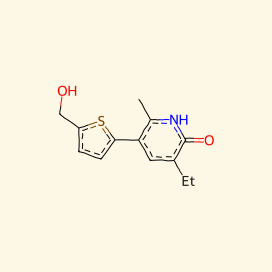 CCc1cc(-c2ccc(CO)s2)c(C)[nH]c1=O